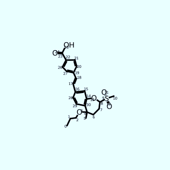 CCCOC1(C)CCC(S(C)(=O)=O)Oc2cc(C=Cc3ccc(C(=O)O)cc3)ccc21